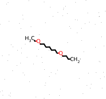 [CH2]CCCOCCCCCCCOCC